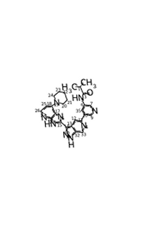 CC(C)C(=O)Nc1cncc(-c2cc3c(-c4nc5c(N6CCCCC6)ccnc5[nH]4)n[nH]c3cn2)c1